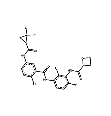 O=C(Nc1ccc(F)c(NC(=O)C2CCO2)c1F)c1cc(NC(=O)C2CC2(Cl)Cl)ccc1Cl